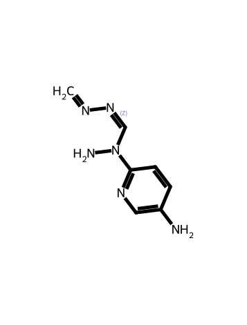 C=N/N=C\N(N)c1ccc(N)cn1